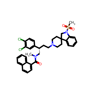 CN(C[C@@H](CCN1CCC2(CC1)CN(S(C)(=O)=O)c1ccccc12)c1ccc(Cl)c(Cl)c1)C(=O)c1cccc2ccccc12